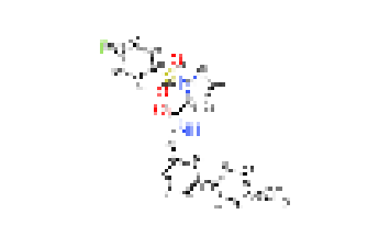 O=C(NCc1cccc(-c2ccc(C(F)(F)F)cc2)c1)[C@@H]1C=CCN1S(=O)(=O)c1ccc(F)cc1